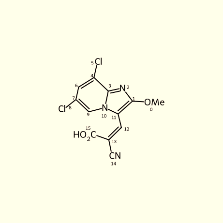 COc1nc2c(Cl)cc(Cl)cn2c1C=C(C#N)C(=O)O